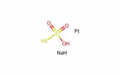 O=S(=O)(O)S.[NaH].[Pt]